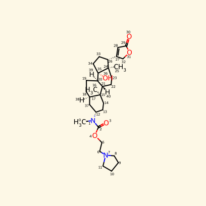 CN(C(=O)OCCN1CCCC1)[C@H]1CC[C@@]2(C)[C@H](CC[C@@H]3[C@@H]2CC[C@]2(C)[C@@H](C4=CC(=O)OC4)CC[C@]32O)C1